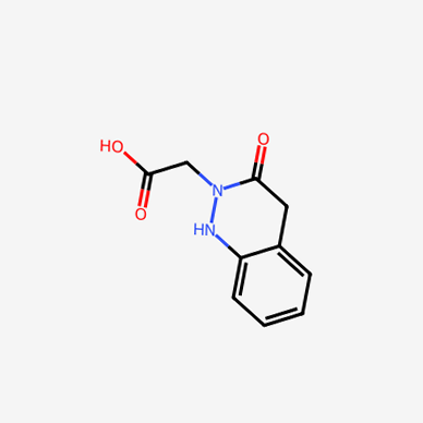 O=C(O)CN1Nc2ccccc2CC1=O